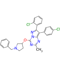 Cc1nc(OC2CCN(Cc3ccccc3)C2)n2nc(-c3ccccc3Cl)c(-c3ccc(Cl)cc3)c2n1